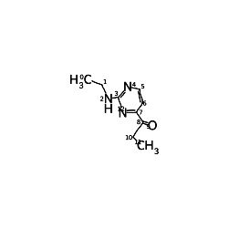 CCNc1nccc(C(=O)CC)n1